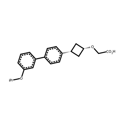 CC(C)Oc1cccc(-c2ccc([C@H]3C[C@@H](OCC(=O)O)C3)cc2)c1